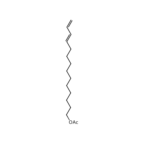 C=C/C=C/CCCCCCCCCCOC(C)=O